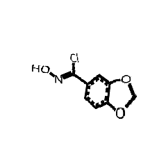 O/N=C(\Cl)c1ccc2c(c1)OCO2